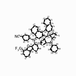 N#Cc1ccc(N(c2cc3c(c4ccccc24)-c2c(ccc4ccccc24)C32c3ccccc3N(c3ccccc3)c3ccccc32)c2cccc3c2oc2c(C(F)(F)F)cccc23)cc1